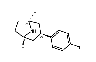 Fc1ccc([C@H]2C[C@H]3CC[C@@H](C2)N3)cc1